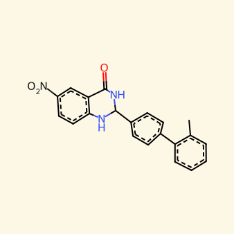 Cc1ccccc1-c1ccc(C2NC(=O)c3cc([N+](=O)[O-])ccc3N2)cc1